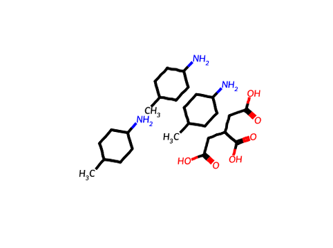 CC1CCC(N)CC1.CC1CCC(N)CC1.CC1CCC(N)CC1.O=C(O)CC(CC(=O)O)C(=O)O